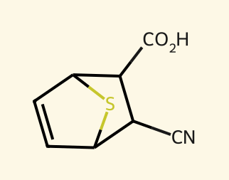 N#CC1C2C=CC(S2)C1C(=O)O